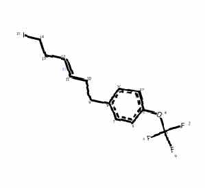 FC(F)(F)Oc1ccc(CC/C=C/CCI)cc1